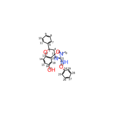 CN1OC2(CC(c3ccccc3)Oc3ccc(O)cc32)N=C1NOc1ccccc1